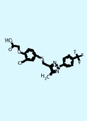 Cc1nn(-c2ccc(C(F)(F)F)cc2)nc1CSc1ccc(OCC(=O)O)c(Cl)c1